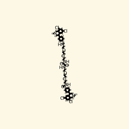 CN1Cc2c(Cl)cc(Cl)cc2C(c2ccc(SNCCOCCOCCNC(=O)C(=O)NCCOCCOCCN[S+]([O-])c3ccc(C4CN(C)Cc5c(Cl)cc(Cl)cc54)cc3)cc2)C1